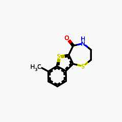 Cc1cccc2c3c(sc12)C(=O)NCCS3